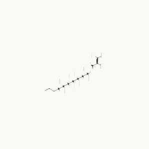 CCCC(F)(F)C(F)(F)C(F)(F)C(F)(F)C(F)(F)C(F)(F)C(F)(F)OC(=O)C(F)=C(F)F